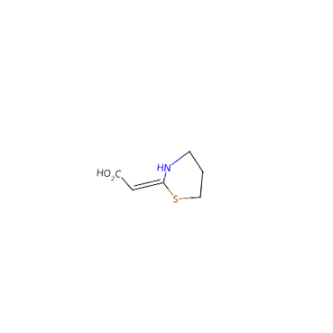 O=C(O)C=C1NCCCS1